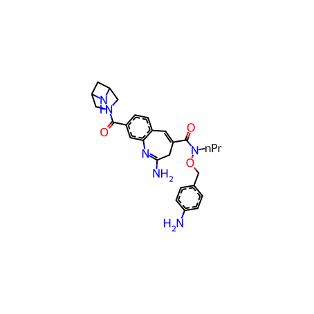 CCCN(OCc1ccc(N)cc1)C(=O)C1=Cc2ccc(C(=O)N3CC4CC(C3)N4)cc2N=C(N)C1